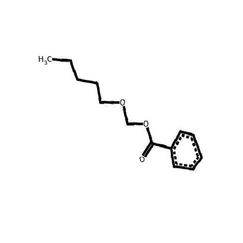 CCCCCOCOC(=O)c1ccccc1